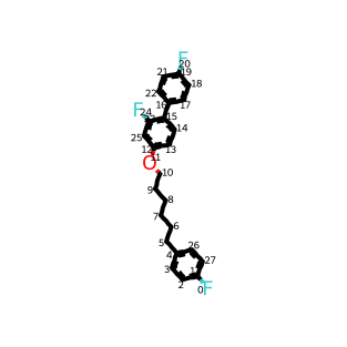 Fc1ccc(CCCCCCOc2ccc(-c3ccc(F)cc3)c(F)c2)cc1